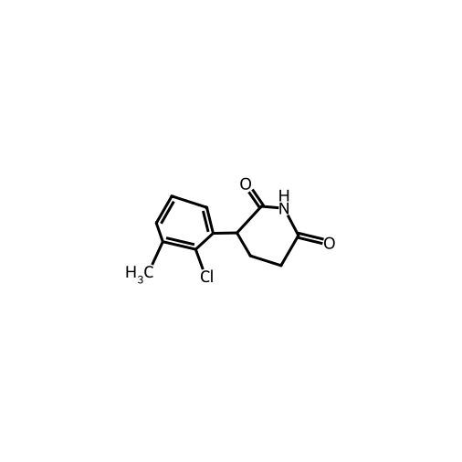 Cc1cccc(C2CCC(=O)NC2=O)c1Cl